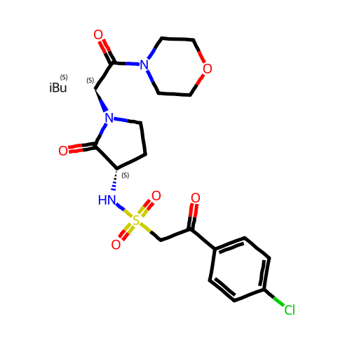 CC[C@H](C)[C@@H](C(=O)N1CCOCC1)N1CC[C@H](NS(=O)(=O)CC(=O)c2ccc(Cl)cc2)C1=O